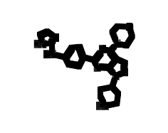 c1c[nH]c(Nc2ccc(-c3nc(N4CCOCC4)c4cnn(C5CCNCC5)c4n3)cc2)n1